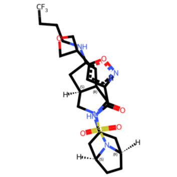 O=C(NC1C[C@H]2CC[C@@H](C1)N2S(=O)(=O)N1C[C@H]2CC(NCCCC(F)(F)F)C[C@H]2C1)c1cc(C2COC2)on1